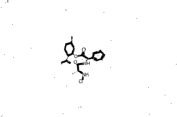 CC(C)[C@@H]1CC[C@@H](C)C[C@H]1OC(=O)[C@@H](NC(=O)[C@@H](C)NCl)c1ccccc1